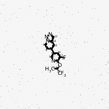 C[C@@H](Oc1ncc(-c2ccn3nncc3c2)cc1F)C(F)(F)F